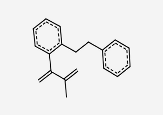 C=C(C)C(=C)c1ccccc1CCc1ccccc1